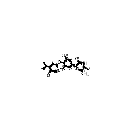 C=C(C)c1cc(Oc2c(Cl)cc(-n3nc(N)c(=O)[nH]c3=O)cc2Cl)n[nH]c1=O